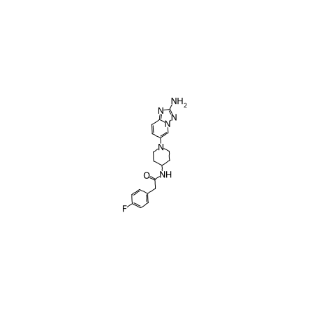 Nc1nc2ccc(N3CCC(NC(=O)Cc4ccc(F)cc4)CC3)cn2n1